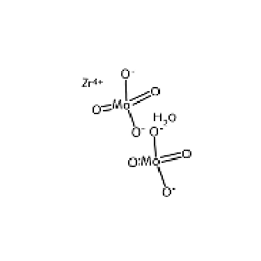 O.[O]=[Mo](=[O])([O-])[O-].[O]=[Mo](=[O])([O-])[O-].[Zr+4]